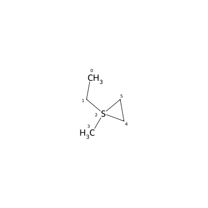 CCS1(C)CC1